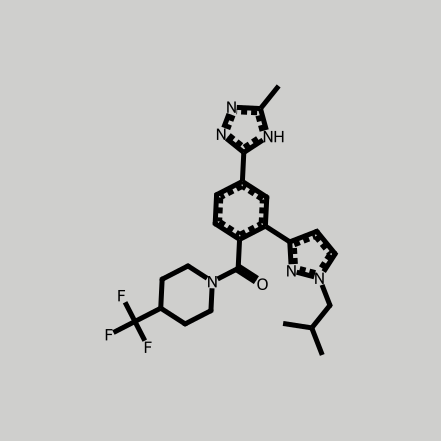 Cc1nnc(-c2ccc(C(=O)N3CCC(C(F)(F)F)CC3)c(-c3ccn(CC(C)C)n3)c2)[nH]1